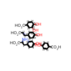 N[C@@H](Cc1ccc(O)cc1)C(=O)O.O=C(O)/C=C/c1ccc(O)cc1.O=C(O)c1ccc(O)c(O)c1.O=C(O)c1ccc(O)cc1